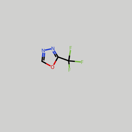 FC(F)(F)c1nnco1